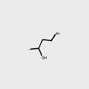 [CH2]C(O)CCC(C)C